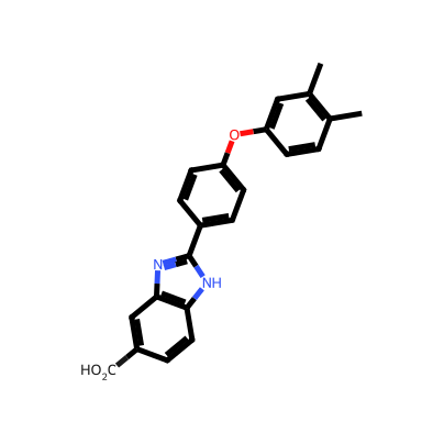 Cc1ccc(Oc2ccc(-c3nc4cc(C(=O)O)ccc4[nH]3)cc2)cc1C